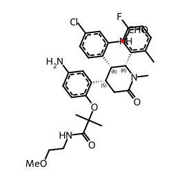 COCCNC(=O)C(C)(C)Oc1ccc(N)cc1[C@H]1CC(=O)N(C)[C@@H](c2cc(F)ccc2C)[C@H]1c1ccc(Cl)cc1NC=O